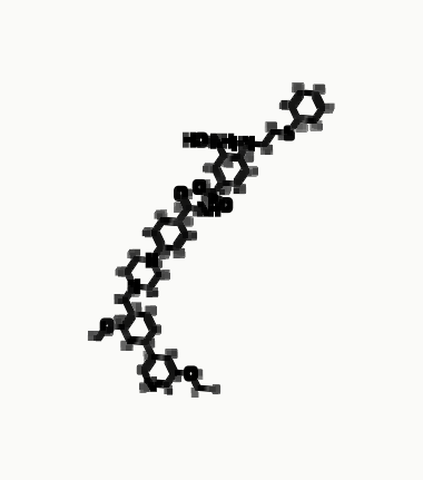 CCOc1cncc(-c2ccc(CN3CCN(c4ccc(C(=O)NS(=O)(=O)c5ccc(NCCSc6ccccc6)c(NO)c5)cc4)CC3)c(OC)c2)c1